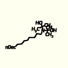 CCCCCCCCCCCCCCCCCCN(C(C)(C)O)C(C)(C)O